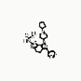 CCSC(=O)Nc1nc2c(s1)-c1c(c(-c3cccnc3)nn1C1CCN(C3CCCC3)CC1)CC2